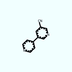 N#Cc1cncc(-c2ccncc2)c1